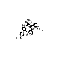 Cc1cc(-c2nc(C(N)=O)c(Nc3ccc(N4CCN(C)CC4)c(C)c3)nc2NC2CCOCC2)ccn1